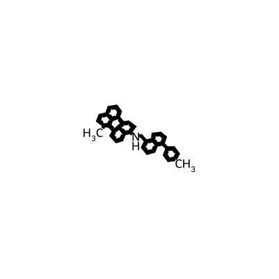 Cc1ccc(-c2cccc3c(CNc4ccc5c6cccc7ccc(C)c(c8cccc4c58)c76)cccc23)cc1